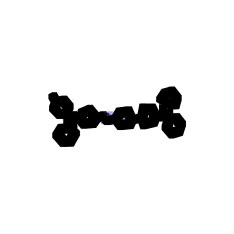 Cc1ccc(N(c2ccccc2)c2ccc(/C=C/c3ccc(-c4ccc(N(c5ccccc5)c5ccccc5)cc4)cc3)cc2)cc1